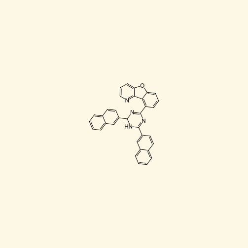 c1ccc2cc(C3=NC(c4cccc5oc6cccnc6c45)=NC(c4ccc5ccccc5c4)N3)ccc2c1